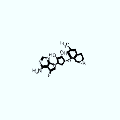 Cc1cc2c(c(O[C@H]3C[C@@H](n4cc(F)c5c(N)ncnc54)[C@H](O)[C@@H]3O)c1)CNCC2